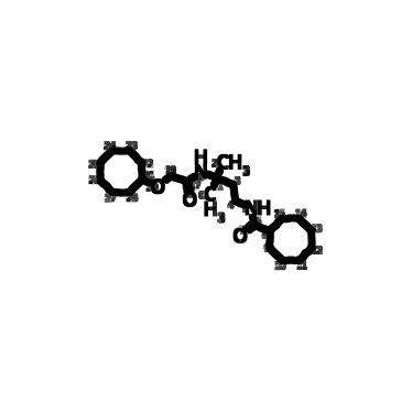 CC(C)(CCNC(=O)C1CCCCCCC1)NC(=O)COC1CCCCCCC1